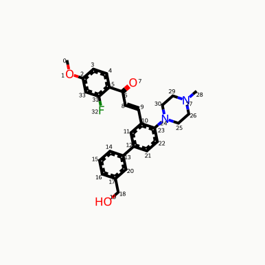 COc1ccc(C(=O)C=Cc2cc(-c3cccc(CO)c3)ccc2N2CCN(C)CC2)c(F)c1